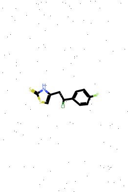 Fc1ccc(C(Cl)Cc2csc(=S)[nH]2)cc1